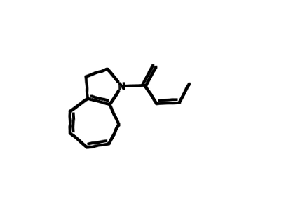 C=C(/C=C\C)N1CCC2=C1CC=CC=C2